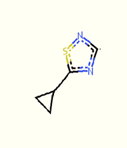 [c]1nsc(C2CC2)n1